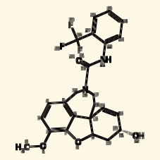 COc1ccc2c3c1OC1C[C@@H](O)C=CC31CCN(C(=O)Nc1ccccc1C(F)(F)F)C2